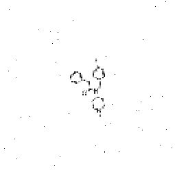 CN1CCC(N(Cc2ccc(F)cc2)C(=O)Cc2ccccc2)CC1